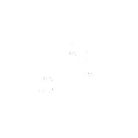 COc1cc(C[C@H](N)C(=O)O)ccc1C(=O)NS(C)(=O)=O